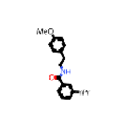 CCCc1cccc(C(=O)NCCc2ccc(OC)cc2)c1